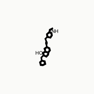 Oc1c(Cc2ccccc2)ccc2ccc(C#CCc3ccc4[nH]ccc4c3)cc12